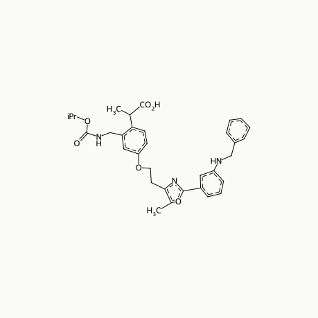 Cc1oc(-c2cccc(NCc3ccccc3)c2)nc1CCOc1ccc(C(C)C(=O)O)c(CNC(=O)OC(C)C)c1